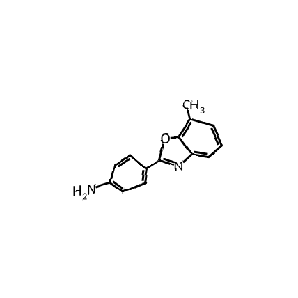 Cc1cccc2nc(-c3ccc(N)cc3)oc12